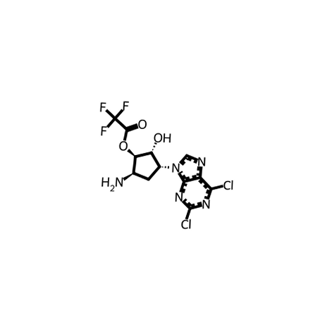 N[C@@H]1C[C@@H](n2cnc3c(Cl)nc(Cl)nc32)[C@@H](O)[C@@H]1OC(=O)C(F)(F)F